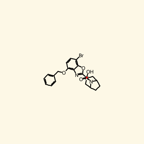 O=C(O)N1C2CCC1CN(c1nc3c(OCc4ccccc4)ccc(Br)c3o1)C2